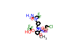 COc1cccc2c1c(NS(=O)(=O)c1ccc(Cl)s1)nn2Cc1cccc(CN2CC(F)(F)C[C@@H]2C(N)=O)c1.O=C(O)C(F)(F)F